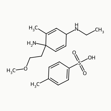 CCNC1C=CC(N)(CCOC)C(C)=C1.Cc1ccc(S(=O)(=O)O)cc1